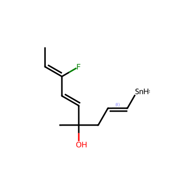 CC=C(F)C=CC(C)(O)C/C=[CH]/[SnH]